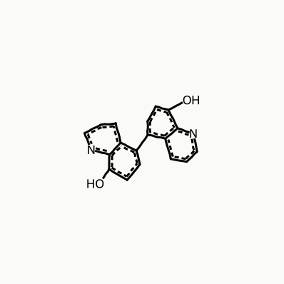 Oc1ccc(-c2ccc(O)c3ncccc23)c2cccnc12